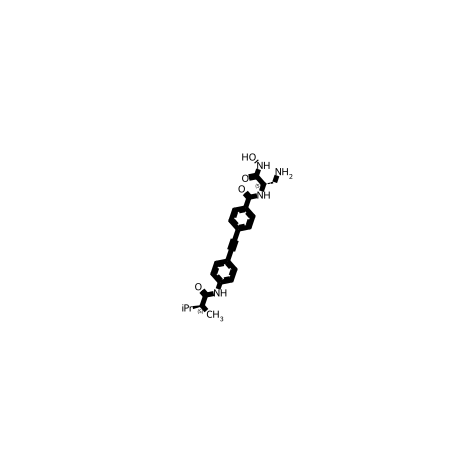 CC(C)[C@H](C)C(=O)Nc1ccc(C#Cc2ccc(C(=O)N[C@@H](CN)C(=O)NO)cc2)cc1